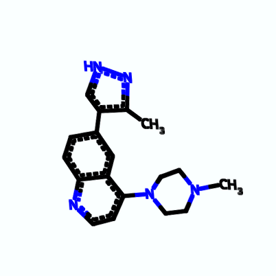 Cc1n[nH]cc1-c1ccc2nccc(N3CCN(C)CC3)c2c1